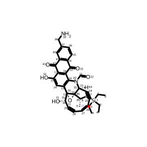 CC[Si](CC)(CC)O[C@H](C)[C@@]12O[C@]13c1cc(O)c4c(c1N(C=O)[C@H]2C#C/C=C\C#C[C@@H]3O)C(=O)c1ccc(CN)cc1C4=O